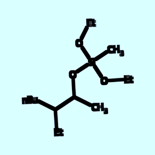 CCCCC(CC)C(C)O[Si](C)(OCC)OCC